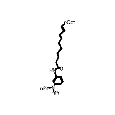 CCCCCCCCC=CCCCCCCCC(=O)Nc1cccc(N(CCC)CCC)c1